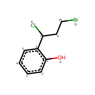 Oc1ccccc1C(Cl)CCBr